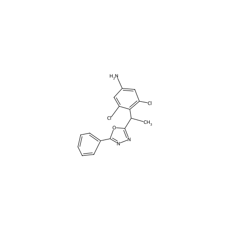 CC(c1nnc(-c2ccccc2)o1)c1c(Cl)cc(N)cc1Cl